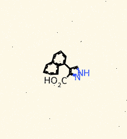 O=C(O)c1n[nH]cc1-c1cccc2ccccc12